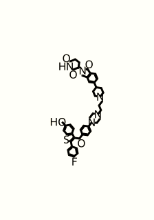 O=C1CCC(N2Cc3cc(C4CCN(CCCN5CCN(c6ccc(C(=O)c7c(-c8ccc(F)cc8)sc8cc(O)ccc78)cc6)CC5)CC4)ccc3C2=O)C(=O)N1